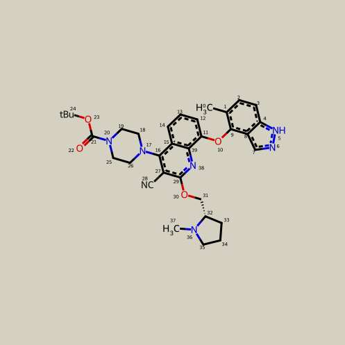 Cc1ccc2[nH]ncc2c1Oc1cccc2c(N3CCN(C(=O)OC(C)(C)C)CC3)c(C#N)c(OC[C@@H]3CCCN3C)nc12